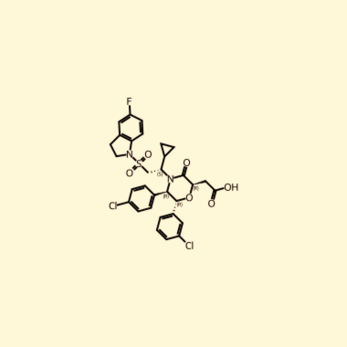 O=C(O)C[C@H]1O[C@H](c2cccc(Cl)c2)[C@@H](c2ccc(Cl)cc2)N([C@H](CS(=O)(=O)N2CCc3cc(F)ccc32)C2CC2)C1=O